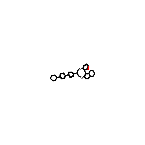 c1cc(C2CCCCC2)ccc1-c1ccc(C2COc3ccc4c(c3-c3c(ccc5c3CCCC5)OC2)CCCC4)cc1